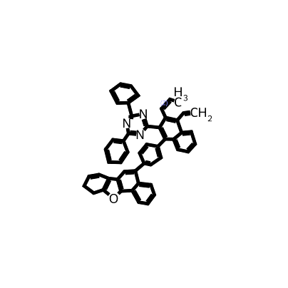 C=Cc1c(/C=C\C)c(-c2nc(-c3ccccc3)nc(-c3ccccc3)n2)c(-c2ccc(-c3cc4c5c(oc4c4ccccc34)CCC=C5)cc2)c2ccccc12